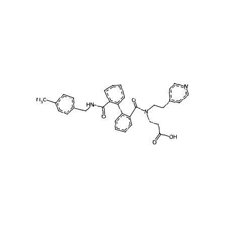 Cc1ccc(CNC(=O)c2ccccc2-c2ccccc2C(=O)N(CCC(=O)O)CCc2ccncc2)cc1